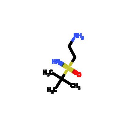 CC(C)(C)S(=N)(=O)CCN